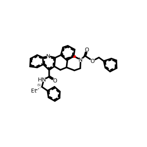 CC[C@H](NC(=O)c1c(CC2CCN(C(=O)OCc3ccccc3)CC2)c(-c2ccccc2)nc2ccccc12)c1ccccc1